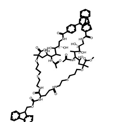 COC(=O)C(C)(CC(O)C(NC(C)=O)C(C)[C@H](O)[C@H](O)CNC(=O)c1ccc(-c2ccccc2)cc1)OCCCSCCNC(=O)CCC(NC(=O)OCC1c2ccccc2-c2ccccc21)C(=O)NCCSCCCOC(C)(CC(O)C(NC(C)=O)C(C)C(O)[C@@H](O)CNC(=O)c1ccc(-c2ccccc2)cc1)C(=O)O